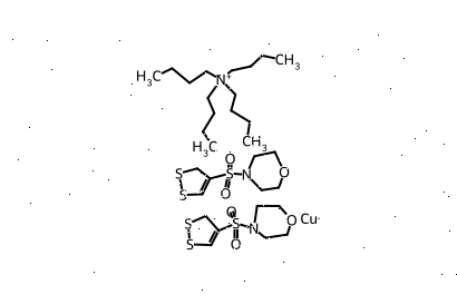 CCCC[N+](CCCC)(CCCC)CCCC.O=S(=O)(C1=CSSC1)N1CCOCC1.O=S(=O)(C1=CSSC1)N1CCOCC1.[Cu]